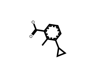 Cc1c(C([O])=O)cccc1C1CC1